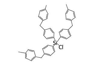 Cc1ccc(Cc2ccc([Si](Cl)(c3ccc(Cc4ccc(C)cc4)cc3)c3ccc(Cc4ccc(C)cc4)cc3)cc2)cc1